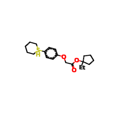 CCC1(OC(=O)COc2ccc([SH]3CCCCC3)cc2)CCCC1